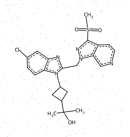 CC(C)(O)C1CC(n2c(Cn3nc(S(C)(=O)=O)c4ccncc43)nc3cc(Cl)ccc32)C1